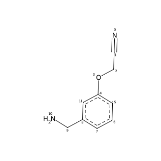 N#CCOc1[c]ccc(CN)c1